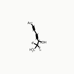 CC(=O)C#CC#CC(O)C(C)(F)F